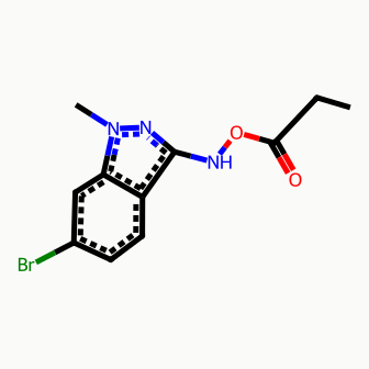 CCC(=O)ONc1nn(C)c2cc(Br)ccc12